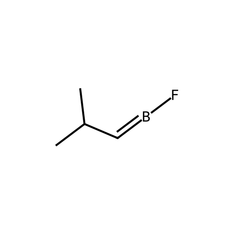 CC(C)C=BF